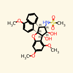 COc1ccc([C@@]23Oc4cc(OC)cc(OC)c4[C@]2(O)[C@H](O)[C@H](NS(C)(=O)=O)[C@H]3c2ccccc2)cc1